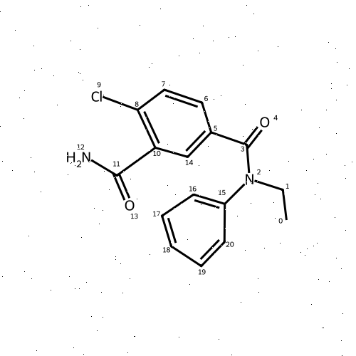 CCN(C(=O)c1ccc(Cl)c(C(N)=O)c1)c1ccccc1